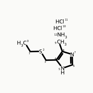 CCSCc1[nH]cnc1C.Cl.Cl.N